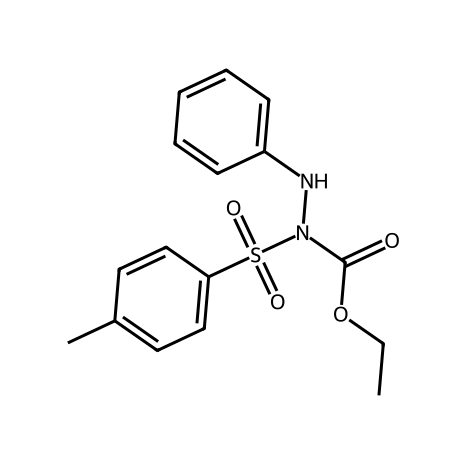 CCOC(=O)N(Nc1ccccc1)S(=O)(=O)c1ccc(C)cc1